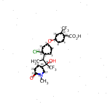 CC(c1ccc(Oc2ccc(C(=O)O)c(C(F)(F)F)c2)cc1Cl)C(O)(c1ccc(=O)n(C)c1)C(F)(F)F